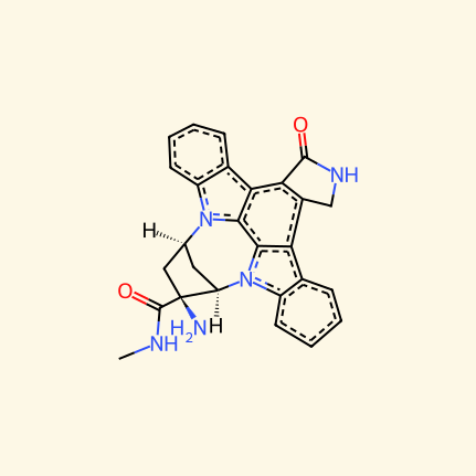 CNC(=O)[C@]1(N)C[C@@H]2C[C@H]1n1c3ccccc3c3c4c(c5c6ccccc6n2c5c31)C(=O)NC4